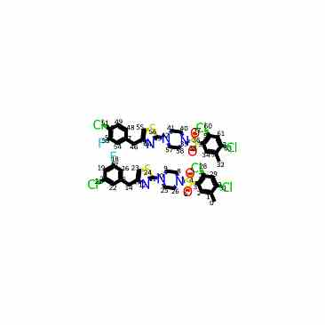 Cc1cc(S(=O)(=O)N2CCN(c3nc(Cc4cc(F)cc(Cl)c4)cs3)CC2)c(Cl)cc1Cl.Cc1cc(S(=O)(=O)N2CCN(c3nc(Cc4ccc(Cl)c(F)c4)cs3)CC2)c(Cl)cc1Cl